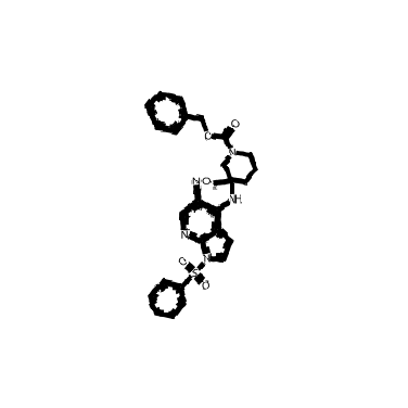 CC1(Nc2c([N+](=O)[O-])cnc3c2ccn3S(=O)(=O)c2ccccc2)CCCN(C(=O)OCc2ccccc2)C1